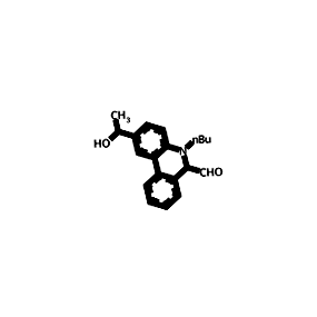 CCCCN1c2ccc(C(C)O)cc2-c2ccccc2C1C=O